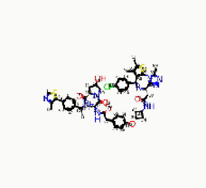 Cc1ncsc1-c1ccc([C@H](C)NC(=O)[C@@H]2C[C@@H](O)CN2C(=O)[C@@H](NC(=O)Cc2ccc(O[C@H]3C[C@H](NC(=O)C[C@@H]4N=C(c5ccc(Cl)cc5)c5c(sc(C)c5C)-n5c(C)nnc54)C3)cc2)C(C)C)cc1